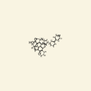 Cc1nc2cc(-c3cccc(-c4ccncc4)c3)nn2c(-c2cc(F)c3c(c2C)CCCO3)c1[C@@H](OC(C)(C)C)C(=O)O